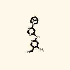 N=Cc1cnc(Nc2cc(N3CC4CC(C3)C4O)ncn2)cc1N